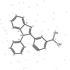 OB(O)c1cc#cc(-c2nc3ccccc3n2-c2ccccc2)c1